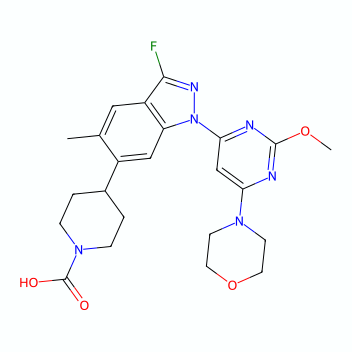 COc1nc(N2CCOCC2)cc(-n2nc(F)c3cc(C)c(C4CCN(C(=O)O)CC4)cc32)n1